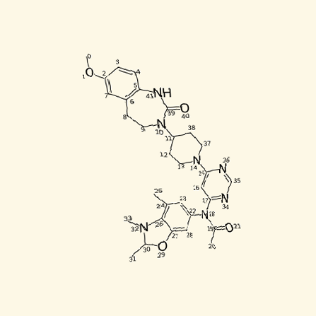 COc1ccc2c(c1)CCN(C1CCN(c3cc(N(C(C)=O)c4cc(C)c5c(c4)OC(C)N5C)ncn3)CC1)C(=O)N2